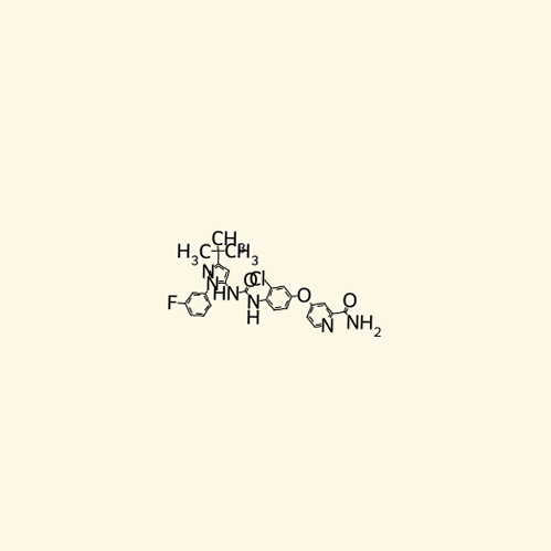 CC(C)(C)c1cc(NC(=O)Nc2ccc(Oc3ccnc(C(N)=O)c3)cc2Cl)n(-c2cccc(F)c2)n1